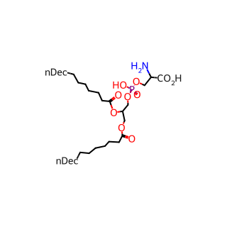 CCCCCCCCCCCCCCCCC(=O)OCC(COP(=O)(O)OCC(N)C(=O)O)OC(=O)CCCCCCCCCCCCCCCC